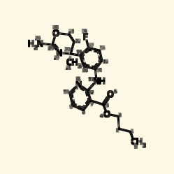 CCCCOC(=O)c1cccnc1Nc1ccc(F)c([C@]2(C)CCOC(N)=N2)c1